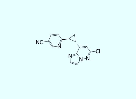 N#Cc1ccc([C@H]2C[C@@H]2c2cc(Cl)nn3ccnc23)nc1